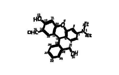 CCN(CC)c1ccc2c(c1)Oc1cc(O)c(C=O)cc1C2c1ccccc1CO